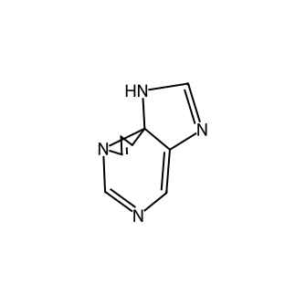 C1=CN2C=NC=C3N=CNC32C1